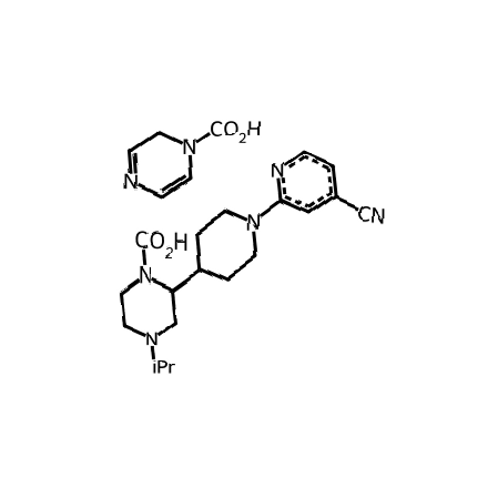 CC(C)N1CCN(C(=O)O)C(C2CCN(c3cc(C#N)ccn3)CC2)C1.O=C(O)N1C=CN=CC1